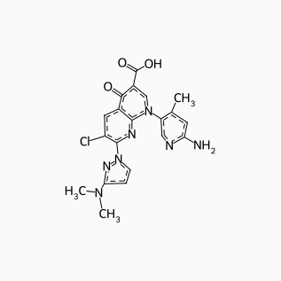 Cc1cc(N)ncc1-n1cc(C(=O)O)c(=O)c2cc(Cl)c(-n3ccc(N(C)C)n3)nc21